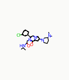 CC(C)NC(=O)Cn1c(-c2cccc(Cl)c2)cn2cc(N3CCCC(N(C)C)C3)cc2c1=O